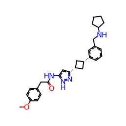 COc1ccc(CC(=O)Nc2cc([C@H]3C[C@@H](c4cccc(CNC5CCCC5)c4)C3)n[nH]2)cc1